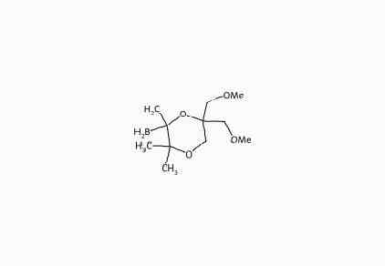 BC1(C)OC(COC)(COC)COC1(C)C